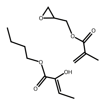 C=C(C)C(=O)OCC1CO1.CC=C(O)C(=O)OCCCC